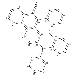 O=c1c2ccccc2c2ccc(N(c3ccccc3)c3ccccc3Cl)cc2n1-c1ccccc1